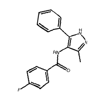 Cc1n[nH]c(-c2ccccc2)c1NC(=O)c1ccc(F)cc1